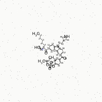 CCCCCC/C(=N\O)C(=O)c1ccc2c(c1)c1cc(C(=O)c3ccc(OP(=O)(OCC)OCC)cc3)ccc1n2CCC1CNC1